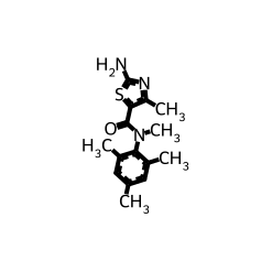 Cc1cc(C)c(N(C)C(=O)c2sc(N)nc2C)c(C)c1